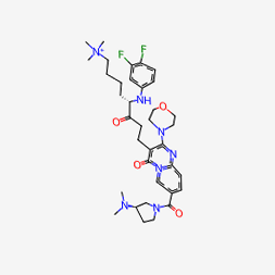 CN(C)[C@@H]1CCN(C(=O)c2ccc3nc(N4CCOCC4)c(CCC(=O)[C@H](CCCC[N+](C)(C)C)Nc4ccc(F)c(F)c4)c(=O)n3c2)C1